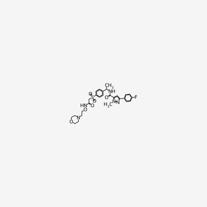 CC(NC(=O)c1cc(-c2ccc(F)cc2)nn1C)c1ccc(S(=O)(=O)CC(=O)NOCCN2CCOCC2)cc1